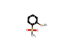 CS(=O)(=O)c1ccccc1S.[Zn]